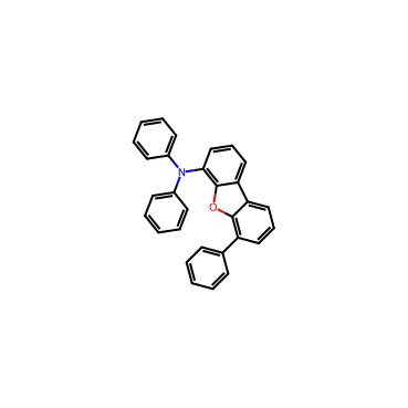 c1ccc(-c2cccc3c2oc2c(N(c4ccccc4)c4ccccc4)cccc23)cc1